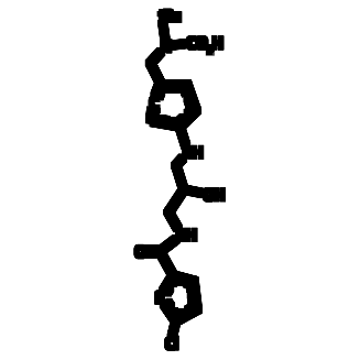 CC(C)(C)N(Cc1ccc(NCC(O)CNC(=O)c2ccc(Cl)s2)cc1)C(=O)O